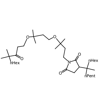 CCCCCCC(C)(C)C(=O)CCOC(C)(C)CCOC(C)(C)CCN1C(=O)CC(C(C)(CCCCC)CCCCCC)C1=O